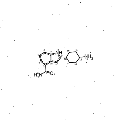 NC(=O)c1cccc2[nH]c([C@H]3CC[C@@H](N)CC3)cc12